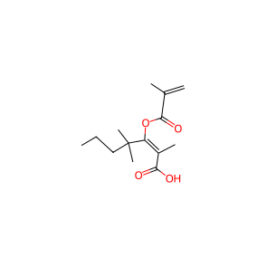 C=C(C)C(=O)OC(=C(C)C(=O)O)C(C)(C)CCC